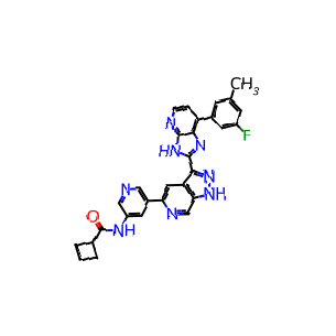 Cc1cc(F)cc(-c2ccnc3[nH]c(-c4n[nH]c5cnc(-c6cncc(NC(=O)C7CCC7)c6)cc45)nc23)c1